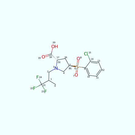 CC(CN1C[C@H](S(=O)(=O)c2ccccc2Cl)C[C@H]1C(=O)O)C(F)(F)F